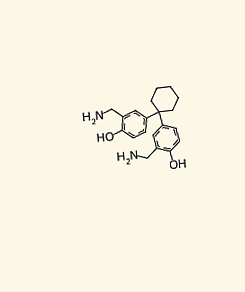 NCc1cc(C2(c3ccc(O)c(CN)c3)CCCCC2)ccc1O